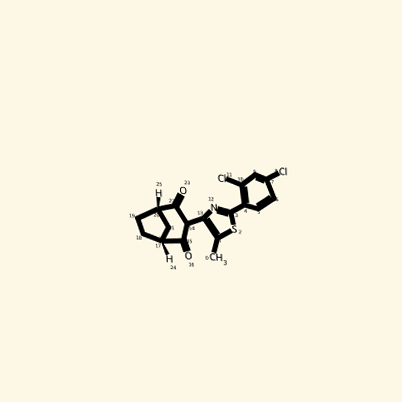 Cc1sc(-c2ccc(Cl)cc2Cl)nc1C1C(=O)[C@@H]2CC[C@@H](C2)C1=O